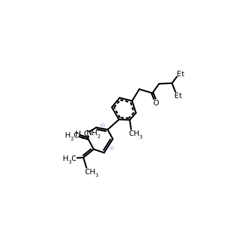 C=C(N)C(/C=C\C(=C/C)c1ccc(CC(=O)CC(CC)CC)cc1C)=C(C)C